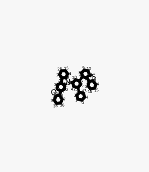 c1ccc(-c2cc(-c3cccc4sc5ccccc5c34)cc(-n3c4ccccc4c4cc5oc6ccccc6c5cc43)c2)cc1